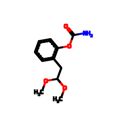 COC(Cc1ccccc1OC(N)=O)OC